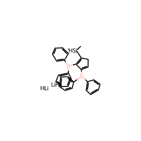 C[SiH](C)C1=C(B(c2ccccc2)c2ccccc2)C(B(c2ccccc2)c2ccccc2)=CC1.[LiH].[LiH]